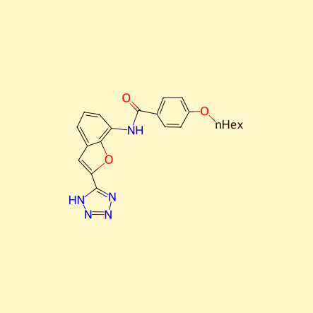 CCCCCCOc1ccc(C(=O)Nc2cccc3cc(-c4nnn[nH]4)oc23)cc1